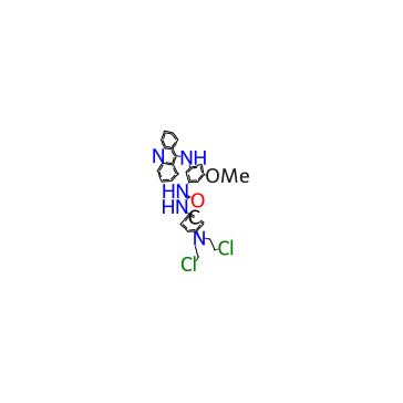 COc1cc(NC(=O)Nc2ccc(N(CCCl)CCCl)cc2)cc(Nc2c3ccccc3nc3ccccc23)c1